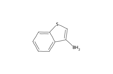 Bc1csc2ccccc12